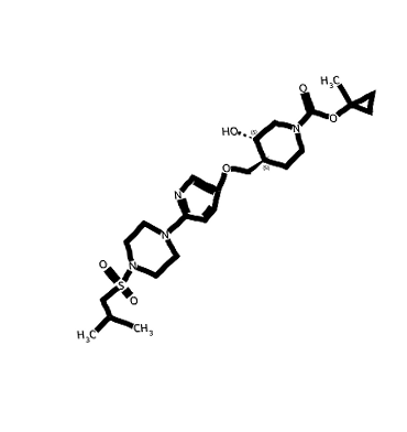 CC(C)CS(=O)(=O)N1CCN(c2ccc(OC[C@@H]3CCN(C(=O)OC4(C)CC4)C[C@H]3O)cn2)CC1